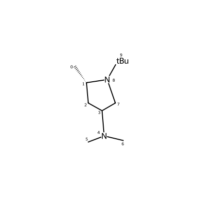 C[C@H]1CC(N(C)C)CN1C(C)(C)C